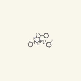 CC/C(C)=C(/N=C1/SC=C(c2ccccc2)/C1=C(/C)NCc1cccc(F)c1)c1ccccn1